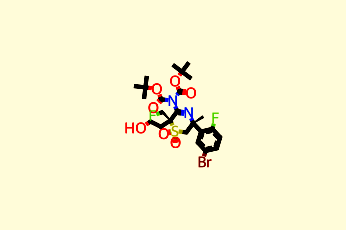 CC(C)(C)OC(=O)N(C(=O)OC(C)(C)C)C1=N[C@](C)(c2cc(Br)ccc2F)CS(=O)(=O)[C@]1(CF)CCO